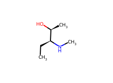 CC[C@H](NC)[C@H](C)O